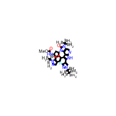 BC(B)(B)n1ncc2cc(-c3c(-c4cn(C(B)(B)C(B)(B)B)nc4F)[nH]c4ncc5c(c34)n([C@@H]3CC[C@@H](NC(=O)OC)C3)c(=O)n5C(B)(B)B)ccc21